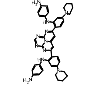 Nc1ccc(Nc2cc(N3CCCCC3)ccc2C2=CC3=CC(c4ccc(N5CCCCC5)cc4Nc4ccc(N)cc4)=NC4=NC=NC(=N2)N34)cc1